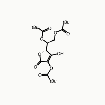 CC(C)(C)C(=O)OC[C@H](OC(=O)C(C)(C)C)[C@H]1OC(=O)C(OC(=O)C(C)(C)C)=C1O